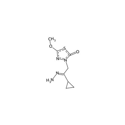 COc1nn(CC(=NN)C2CC2)c(=O)s1